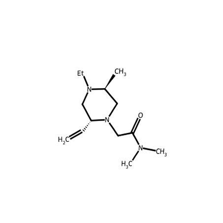 C=C[C@@H]1CN(CC)[C@@H](C)CN1CC(=O)N(C)C